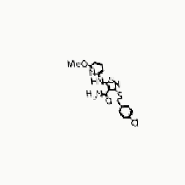 COc1cccc(Nc2snc(SCc3ccc(Cl)cc3)c2C(N)=O)n1